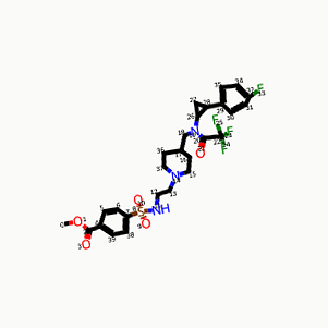 COC(=O)c1ccc(S(=O)(=O)NCCN2CCC(CN(C(=O)C(F)(F)F)C3CC3c3ccc(F)cc3)CC2)cc1